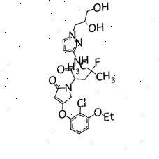 CCOc1cccc(OC2=CC(=O)N(C(CC(C)(C)F)C(=O)Nc3ccn(C[C@@H](O)CO)n3)C2)c1Cl